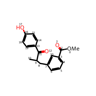 COC(=O)c1cccc(CC(C)C(=O)c2ccc(O)cc2)c1